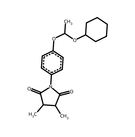 CC(Oc1ccc(N2C(=O)C(C)C(C)C2=O)cc1)OC1CCCCC1